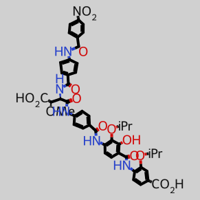 CO[C@@H](C(=O)O)[C@@H](NC(=O)c1ccc(NC(=O)c2ccc([N+](=O)[O-])cc2)cc1)C(=O)Nc1ccc(C(=O)Nc2ccc(C(=O)Nc3ccc(C(=O)O)cc3OC(C)C)c(O)c2OC(C)C)cc1